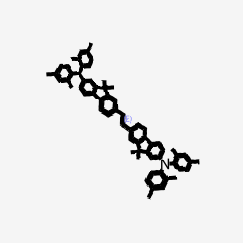 Cc1ccc(C(c2ccc3c(c2)C(C)(C)c2cc(/C=C/c4ccc5c(c4)C(C)(C)c4cc(N(c6ccc(C)cc6C)c6ccc(C)cc6C)ccc4-5)ccc2-3)c2ccc(C)cc2C)c(C)c1